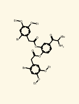 CCOc1cc(Br)c(CC(=O)Oc2ccc(C(=O)C(N)C(C)(C)C)cc2OC(=O)Cc2cc(OCC)c(OCC)cc2Br)cc1OCC